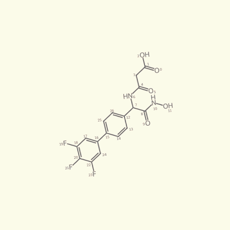 O=C(O)CC(=O)NC(C(=O)NO)c1ccc(-c2cc(F)c(F)c(F)c2)cc1